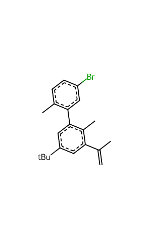 C=C(C)c1cc(C(C)(C)C)cc(-c2cc(Br)ccc2C)c1C